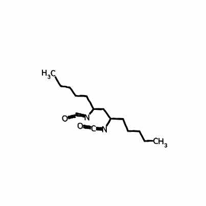 CCCCCC(CC(CCCCC)N=C=O)N=C=O